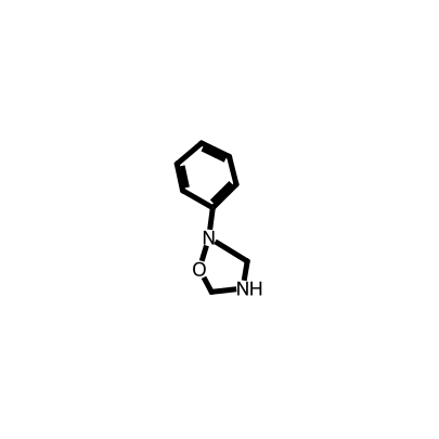 c1ccc(N2CNCO2)cc1